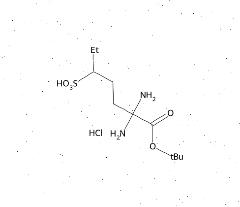 CCC(CCC(N)(N)C(=O)OC(C)(C)C)S(=O)(=O)O.Cl